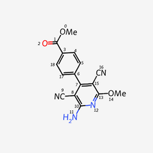 COC(=O)c1ccc(-c2c(C#N)c(N)nc(OC)c2C#N)cc1